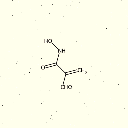 C=C([C]=O)C(=O)NO